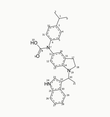 CC(C)c1ccc(N(C(=O)O)c2ccc3c(c2)CCN3C(C)c2c[nH]c3ccccc23)cc1